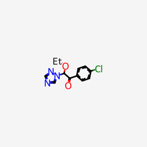 CCOC(C(=O)c1ccc(Cl)cc1)n1cncn1